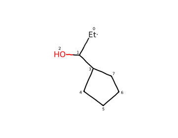 C[CH]C(O)C1CCCC1